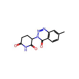 Cc1ccc2c(=O)n(C3CCC(=O)NC3=O)nnc2c1